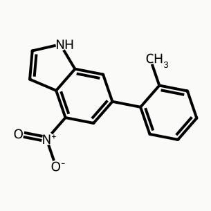 Cc1ccccc1-c1cc([N+](=O)[O-])c2cc[nH]c2c1